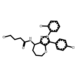 O=C(CCCCl)NC1CCCOc2c1nn(-c1ccccc1Cl)c2-c1ccc(Cl)cc1